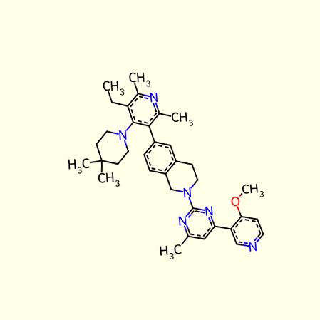 CCc1c(C)nc(C)c(-c2ccc3c(c2)CCN(c2nc(C)cc(-c4cnccc4OC)n2)C3)c1N1CCC(C)(C)CC1